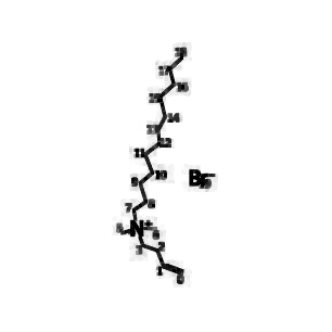 C=CCC[N+](C)(C)CCCCCCCCCCCC.[Br-]